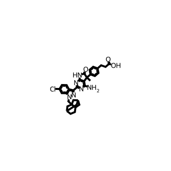 CC1(c2ccc(CCC(=O)O)cc2)C(=O)Nc2nc(-c3nn(CC45CC6CCC4CC(C6)C5)c4cc(Cl)ccc34)nc(N)c21